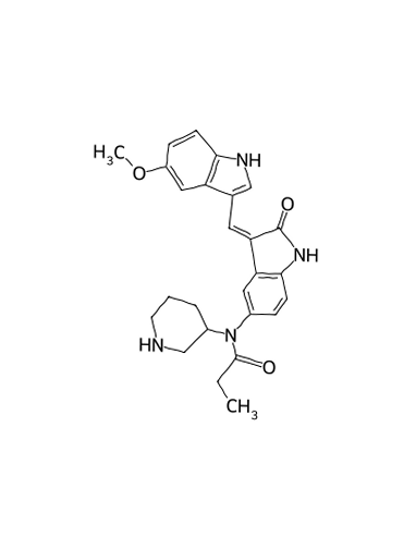 CCC(=O)N(c1ccc2c(c1)C(=Cc1c[nH]c3ccc(OC)cc13)C(=O)N2)C1CCCNC1